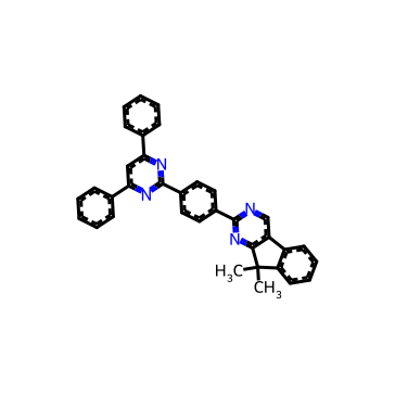 CC1(C)c2ccccc2-c2cnc(-c3ccc(-c4nc(-c5ccccc5)cc(-c5ccccc5)n4)cc3)nc21